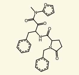 CN(C(=O)C(=O)C(Cc1ccccc1)NC(=O)C1CCC(=O)N1Cc1ccccc1)c1ccco1